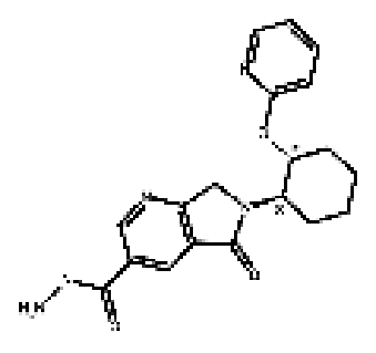 NNC(=O)c1cnc2c(c1)C(=O)N([C@@H]1CCCC[C@H]1Oc1ccccn1)C2